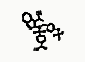 CC(O)c1c(N(Cc2ccc(OC(F)(F)F)cc2)S(=O)(=O)c2ccc(C(=O)O)cc2)ncc2ccccc12